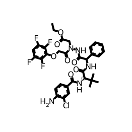 CCOC(=O)CN(NC(=O)C(NC(=O)[C@@H](NC(=O)c1ccc(N)c(Cl)c1)C(C)(C)C)c1ccccc1)C(=O)COc1c(F)c(F)cc(F)c1F